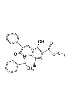 COC(=O)c1nc(Br)c2c(cc(-c3ccccc3)c(=O)n2C(C)c2ccccc2)c1O